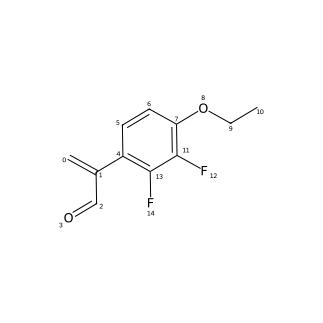 C=C(C=O)c1ccc(OCC)c(F)c1F